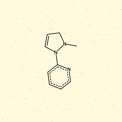 CN1CC=CN1c1ccccn1